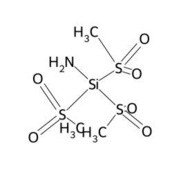 CS(=O)(=O)[Si](N)(S(C)(=O)=O)S(C)(=O)=O